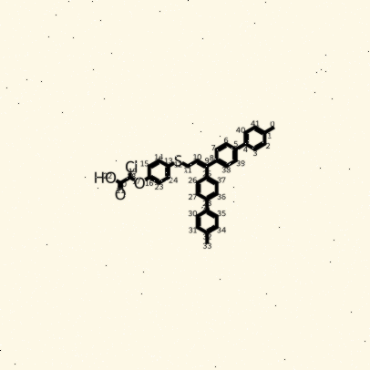 Cc1ccc(-c2ccc(C(=CCSc3ccc(OC(Cl)C(=O)O)cc3)c3ccc(-c4ccc(C)cc4)cc3)cc2)cc1